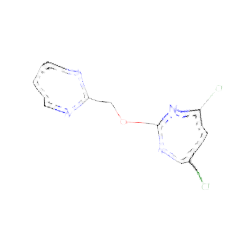 Clc1cc(Cl)nc(OCc2ncccn2)n1